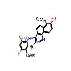 COc1cc(Nc2c(C#N)cnc3c2ccc2c(OC)c(O)ccc23)c(Cl)cc1F